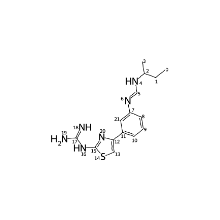 CCC(C)NC=Nc1cccc(-c2csc(NC(=N)N)n2)c1